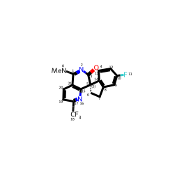 CNC1=NC(=O)[C@]2(CCc3cc(F)ccc32)c2nc(C(F)(F)F)ccc21